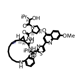 COc1ccc2c(O[C@@H]3C[C@@H](C(=O)N[C@]45C[C@H]4/C=C\CCCCCNc4ccccc4S(=O)(=O)NC5=O)N(C(=O)[C@H](O)C(C)C)C3)cc(-c3csc(NC(C)C)n3)nc2c1